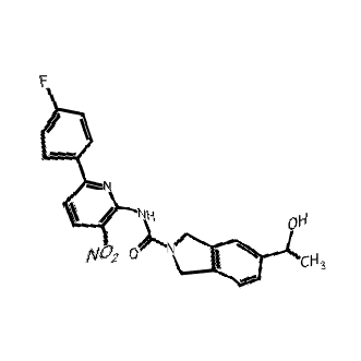 CC(O)c1ccc2c(c1)CN(C(=O)Nc1nc(-c3ccc(F)cc3)ccc1[N+](=O)[O-])C2